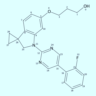 OCCCOc1ccc2c(c1)N(c1ncc(-c3ccccc3F)cn1)CC21CC1